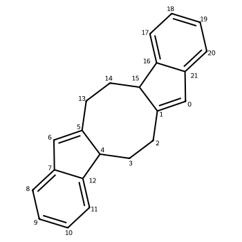 C1=C2CCC3C(=Cc4ccccc43)CCC2c2ccccc21